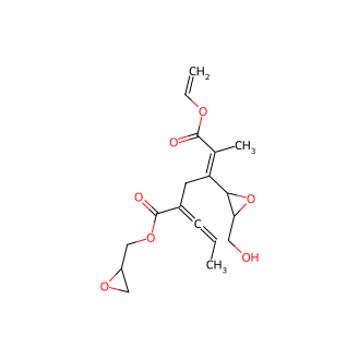 C=COC(=O)C(C)=C(CC(=C=CC)C(=O)OCC1CO1)C1OC1CO